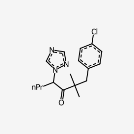 CCCC(C(=O)C(C)(C)Cc1ccc(Cl)cc1)n1cncn1